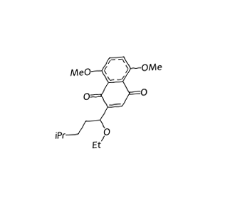 CCOC(CCC(C)C)C1=CC(=O)c2c(OC)ccc(OC)c2C1=O